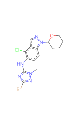 Cn1nc(Br)nc1Nc1ccc2c(cnn2C2CCCCO2)c1Cl